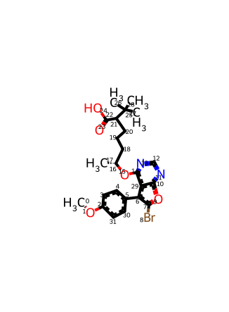 COc1ccc(-c2c(Br)oc3ncnc(O[C@H](C)CCCC(C(=O)O)C(C)(C)C)c23)cc1